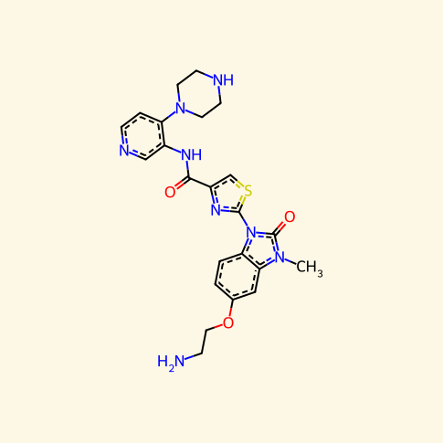 Cn1c(=O)n(-c2nc(C(=O)Nc3cnccc3N3CCNCC3)cs2)c2ccc(OCCN)cc21